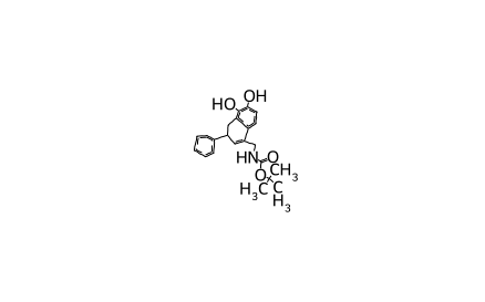 CC(C)(C)OC(=O)NCC1=CC(c2ccccc2)Cc2c1ccc(O)c2O